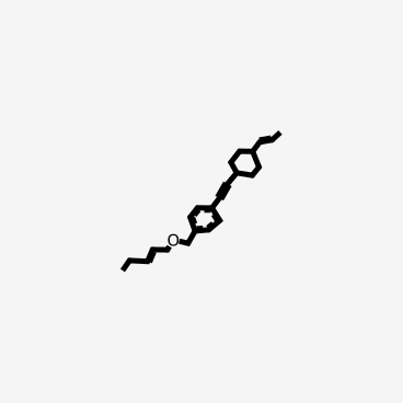 CC=CC1CCC(C#Cc2ccc(COCC=CCC)cc2)CC1